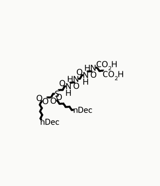 CCCCCCCCCCCCCCCC(=O)OCC(CSCCC(=O)NCC(=O)NCC(=O)NCC(=O)NC(CCC(=O)O)C(=O)O)OC(=O)CCCCCCCCCCCCCCC